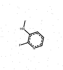 [CH2]Nc1cccnc1F